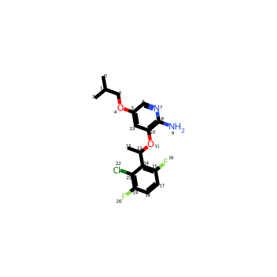 CC(C)COc1cnc(N)c(OC(C)c2c(F)ccc(F)c2Cl)c1